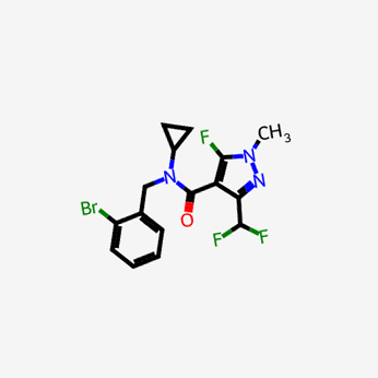 Cn1nc(C(F)F)c(C(=O)N(Cc2ccccc2Br)C2CC2)c1F